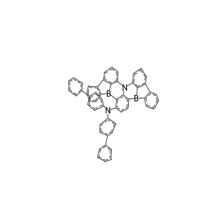 c1ccc(-c2ccc(N(c3ccc(-c4ccccc4)cc3)c3ccc4c5c3B3c6ccccc6-c6cccc(c63)N5c3cccc5c3B4c3ccccc3-5)cc2)cc1